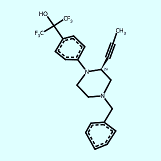 CC#C[C@H]1CN(Cc2ccccc2)CCN1c1ccc(C(O)(C(F)(F)F)C(F)(F)F)cc1